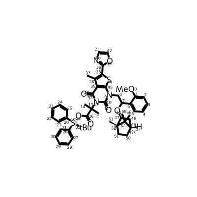 COc1ccccc1C(Cn1c(=O)n(C(C)(C)C(=O)O[Si](c2ccccc2)(c2ccccc2)C(C)(C)C)c(=O)c2c(C)c(-c3ncco3)sc21)O[C@H]1C[C@@H]2CC[C@@]1(C)C2(C)C